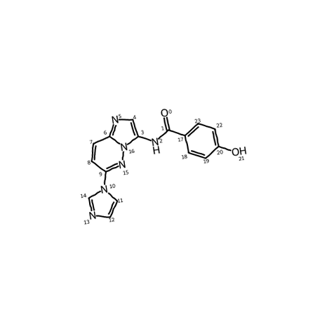 O=C(Nc1cnc2ccc(-n3ccnc3)nn12)c1ccc(O)cc1